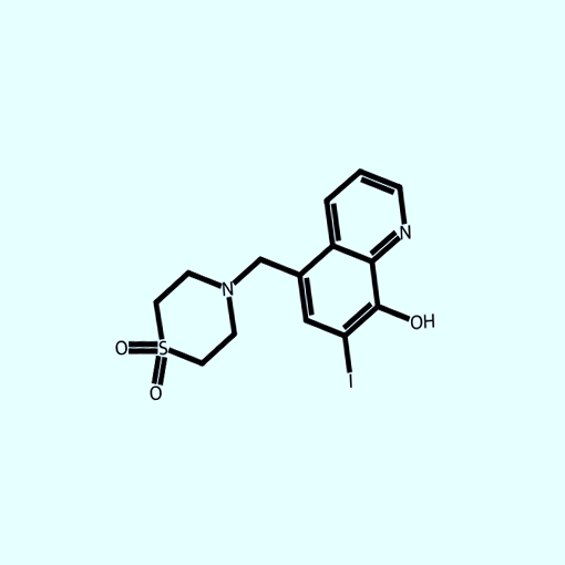 O=S1(=O)CCN(Cc2cc(I)c(O)c3ncccc23)CC1